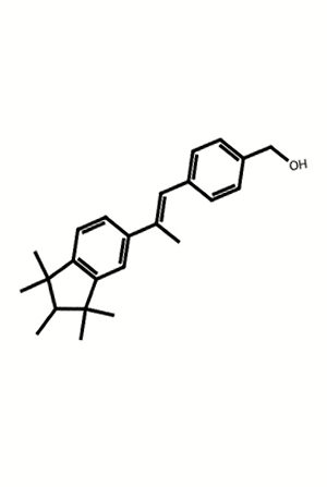 CC(=Cc1ccc(CO)cc1)c1ccc2c(c1)C(C)(C)C(C)C2(C)C